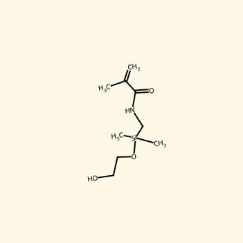 C=C(C)C(=O)NC[Si](C)(C)OCCO